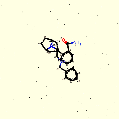 NC(=O)c1ccccc1C1CC2CCC(C1)N2CCNCc1ccccc1